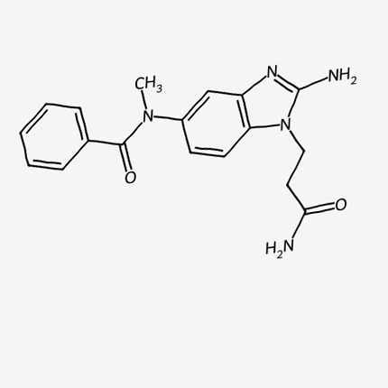 CN(C(=O)c1ccccc1)c1ccc2c(c1)nc(N)n2CCC(N)=O